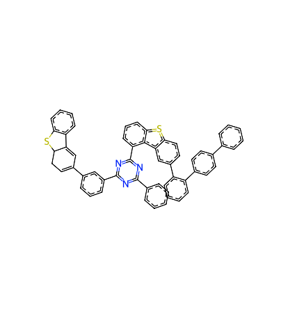 C1=C(c2cccc(-c3nc(-c4ccccc4)nc(-c4cccc5sc6ccc(-c7ccccc7-c7ccc(-c8ccccc8)cc7)cc6c45)n3)c2)C=C2c3ccccc3SC2C1